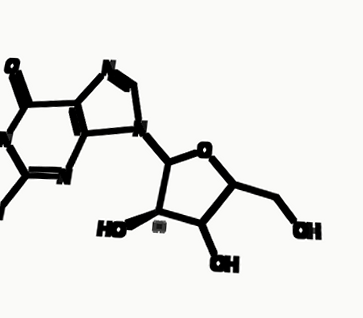 Nc1nc2c(ncn2C2OC(CO)C(O)[C@H]2O)c(=O)[nH]1